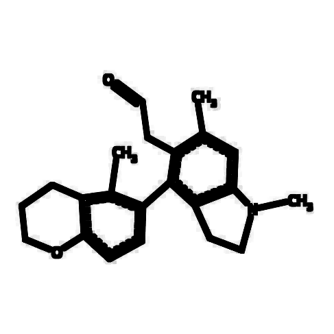 Cc1cc2c(c(-c3ccc4c(c3C)CCCO4)c1CC=O)CCN2C